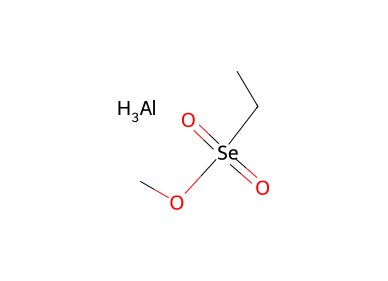 CC[Se](=O)(=O)OC.[AlH3]